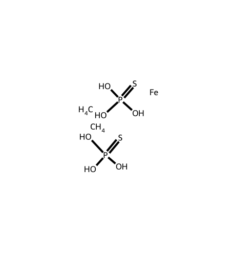 C.C.OP(O)(O)=S.OP(O)(O)=S.[Fe]